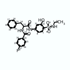 CCNS(=O)(=O)c1ccc(NC(=O)C(Cc2ccccc2)NC(=O)c2ccc(F)cc2)cc1O